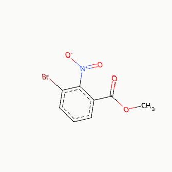 COC(=O)c1cccc(Br)c1[N+](=O)[O-]